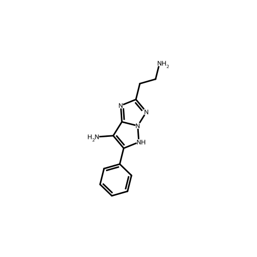 NCCc1nc2c(N)c(-c3ccccc3)[nH]n2n1